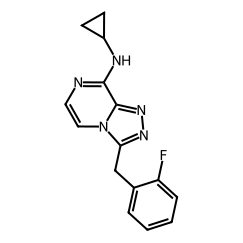 Fc1ccccc1Cc1nnc2c(NC3CC3)nccn12